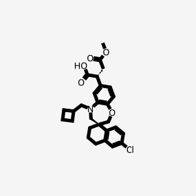 COC(=O)C[C@@H](C(=O)O)c1ccc2c(c1)N(CC1CCC1)C[C@@]1(CCCc3cc(Cl)ccc31)CO2